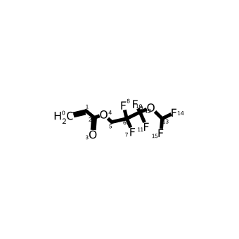 C=CC(=O)OCC(F)(F)C(F)(F)OC(F)F